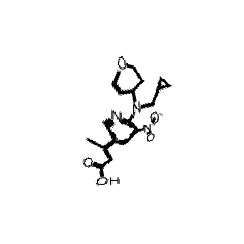 CC(=CC(=O)O)c1cnc(N(CC2CC2)C2CCOCC2)c([N+](=O)[O-])c1